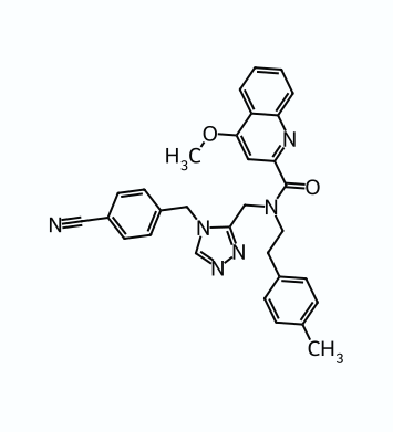 COc1cc(C(=O)N(CCc2ccc(C)cc2)Cc2nncn2Cc2ccc(C#N)cc2)nc2ccccc12